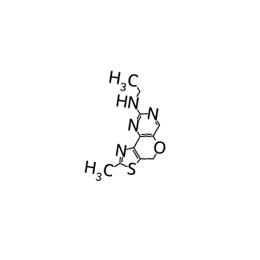 CCNc1ncc2c(n1)-c1nc(C)sc1CO2